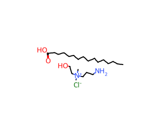 CCCCCCCCCCCCCCCC(=O)O.C[N+](C)(CCO)CCCN.[Cl-]